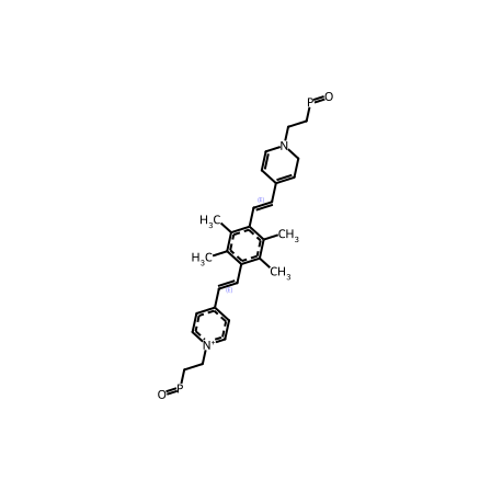 Cc1c(C)c(/C=C/c2cc[n+](CCP=O)cc2)c(C)c(C)c1/C=C/C1=CCN(CCP=O)C=C1